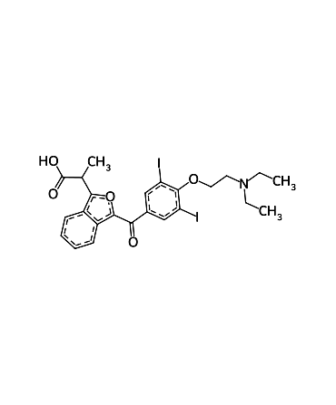 CCN(CC)CCOc1c(I)cc(C(=O)c2oc(C(C)C(=O)O)c3ccccc23)cc1I